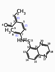 C\C=C(C=O)/C=C\C(=C/C)NSc1cccc2nccnc12